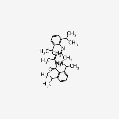 CC(=CC(C)=Nc1c(C(C)C)cccc1C(C)C)NC(=O)c1c(C(C)C)cccc1C(C)C